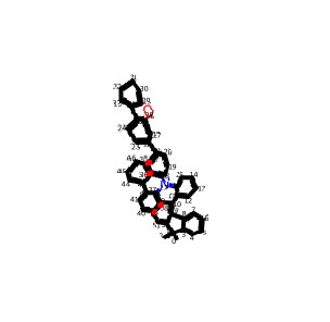 CC1(C)c2ccccc2-c2c(-c3ccccc3N(c3ccc(-c4ccc5c(c4)oc4ccccc45)cc3)c3ccccc3-c3ccccc3)cccc21